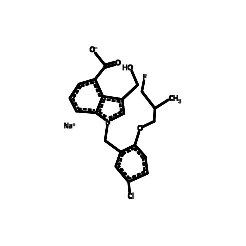 CC(CF)COc1ccc(Cl)cc1Cn1cc(CO)c2c(C(=O)[O-])cccc21.[Na+]